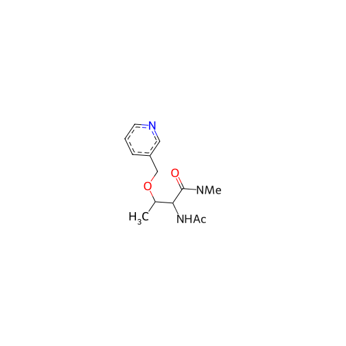 CNC(=O)C(NC(C)=O)C(C)OCc1cccnc1